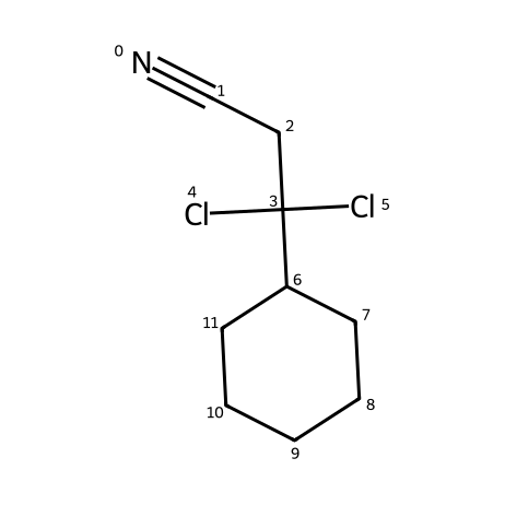 N#CCC(Cl)(Cl)C1CCCCC1